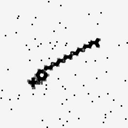 CC(C)CCCOCCOCCOCCOCCN1CCC(NC(C)(C)C)CC1